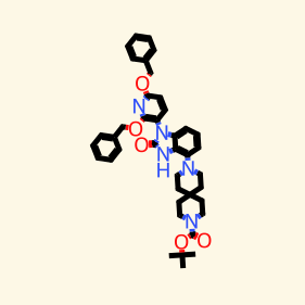 CC(C)(C)OC(=O)N1CCC2(CC1)CCN(c1cccc3c1[nH]c(=O)n3-c1ccc(OCc3ccccc3)nc1OCc1ccccc1)CC2